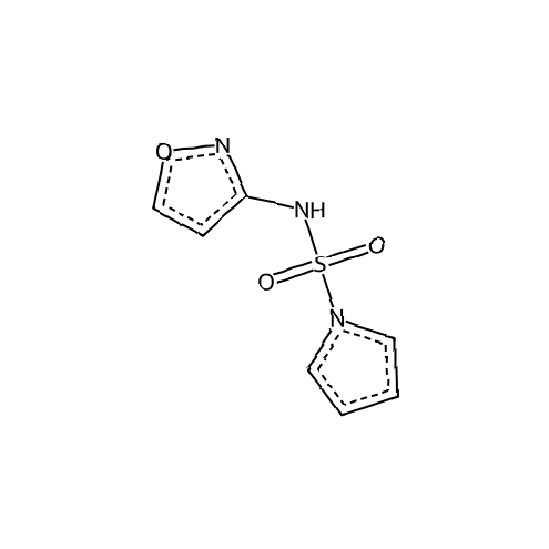 O=S(=O)(Nc1ccon1)n1cccc1